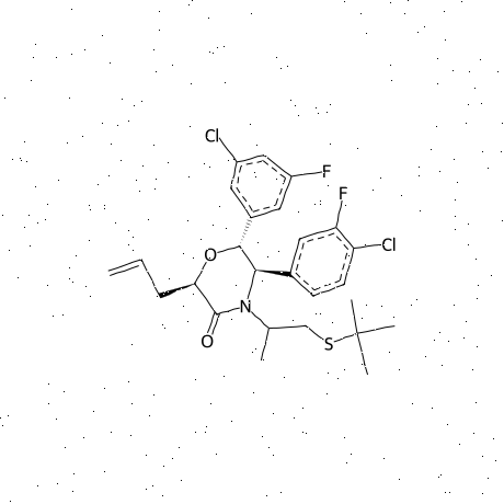 C=CC[C@H]1O[C@H](c2cc(F)cc(Cl)c2)[C@@H](c2ccc(Cl)c(F)c2)N(C(C)CSC(C)(C)C)C1=O